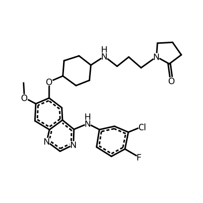 COc1cc2ncnc(Nc3ccc(F)c(Cl)c3)c2cc1OC1CCC(NCCCN2CCCC2=O)CC1